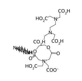 N.O=C(O)CN(CCN(CC(=O)O)CC(=O)O)CC(=O)O.O=C([O-])C[N+]1(CC(=O)O)CC(=O)OCCOC(=O)C1.[NaH].[NaH].[NaH].[NaH]